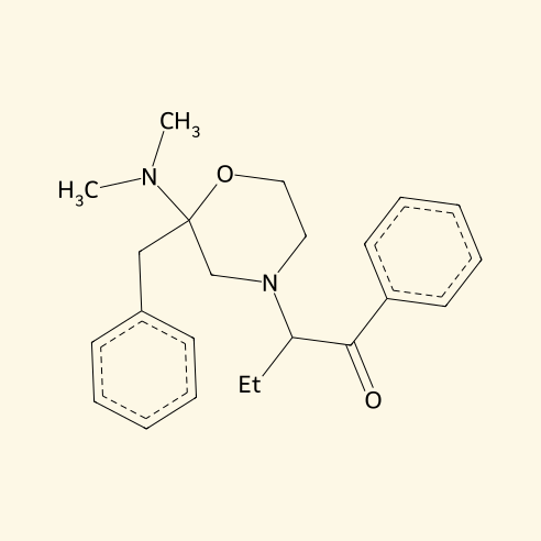 CCC(C(=O)c1ccccc1)N1CCOC(Cc2ccccc2)(N(C)C)C1